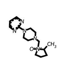 CC1CCC[N+]1([O-])CN1CCN(c2ncccn2)CC1